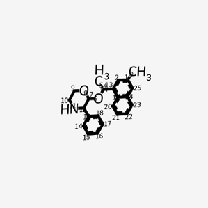 Cc1cc([C@@H](C)OC2OCCNC2c2ccccc2)c2ccccc2c1